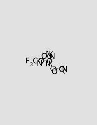 Cc1cc(C2CC(c3cc4nc(C)n(C)c(=O)c4c(-c4ccc(C(F)(F)F)nc4)n3)CCO2)ccn1